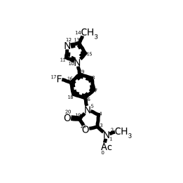 CC(=O)N(C)C1CN(c2ccc(-n3cnc(C)c3)c(F)c2)C(=O)O1